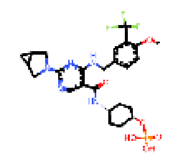 COc1ccc(CNc2nc(N3CC4CC4C3)ncc2C(=O)N[C@H]2CC[C@H](OP(=O)(O)O)CC2)cc1C(F)(F)F